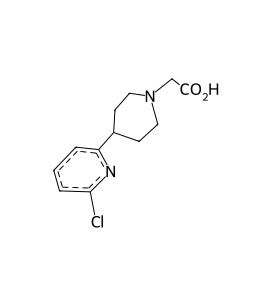 O=C(O)CN1CCC(c2cccc(Cl)n2)CC1